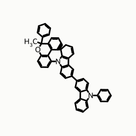 CC1(c2ccccc2)Oc2cccc(-n3c4c(c5cc(-c6ccc7c(c6)c6ccccc6n7-c6ccccc6)ccc53)C=CCC4)c2-c2c#cccc21